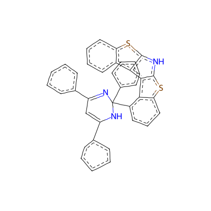 C1=C(c2ccccc2)NC(c2ccccc2)(c2cccc3sc4[nH]c5sc6ccccc6c5c4c23)N=C1c1ccccc1